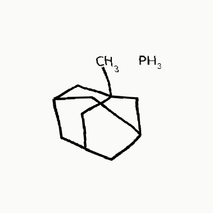 CC12CC3CC(CC(C3)C1)C2.P